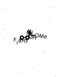 COCCCn1nnnc1-c1cc(-c2cccc(C(F)(F)F)c2)c(O)cc1O